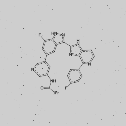 CC(C)C(=O)Nc1cncc(-c2cc(F)c3[nH]nc(-c4nc5c(-c6ccc(F)cc6)nccc5[nH]4)c3c2)c1